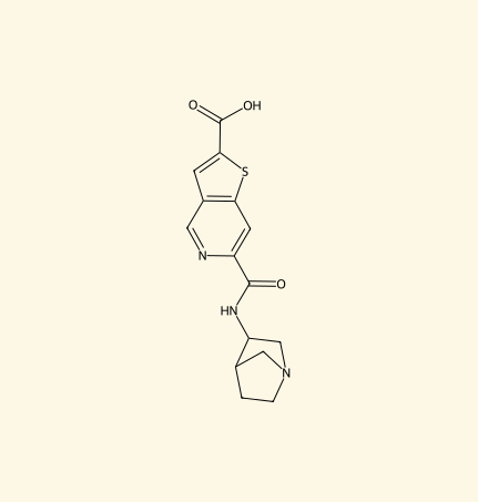 O=C(NC1CN2CCC1C2)c1cc2sc(C(=O)O)cc2cn1